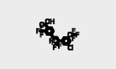 O=C(O)c1ccc(/C(F)=C/C(c2cc(Cl)cc(OC(F)(F)F)c2)C(F)(F)F)cc1C(F)(F)F